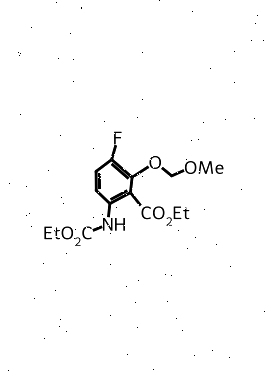 CCOC(=O)Nc1ccc(F)c(OCOC)c1C(=O)OCC